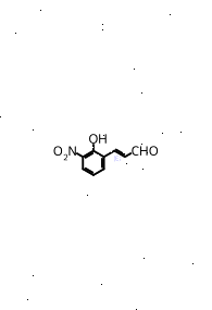 O=C/C=C/c1cccc([N+](=O)[O-])c1O